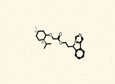 CC(C)[C@H]1CC[C@H](C)CC1OCC(=O)OCCC1c2ccccc2-c2cncn21